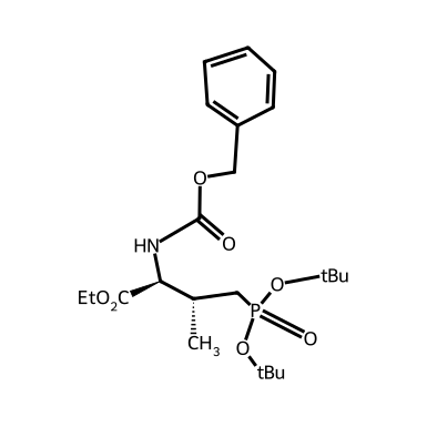 CCOC(=O)[C@@H](NC(=O)OCc1ccccc1)[C@@H](C)CP(=O)(OC(C)(C)C)OC(C)(C)C